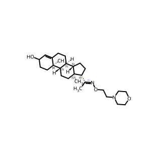 C/C(=N\OCCN1CCOCC1)[C@H]1CC[C@H]2[C@@H]3CCC4=CC(O)CC[C@]4(C)[C@H]3CC[C@]12C